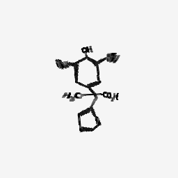 CC(C)(C)c1cc(C(C)(C(=O)O)c2ccccc2)cc(C(C)(C)C)c1O